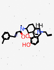 C=CCN1CC[C@]23c4c5ccc(O)c4OC2C(N(C)C(=O)/C=C/c2cccc(C)c2)CC[C@H]3[C@H]1C5